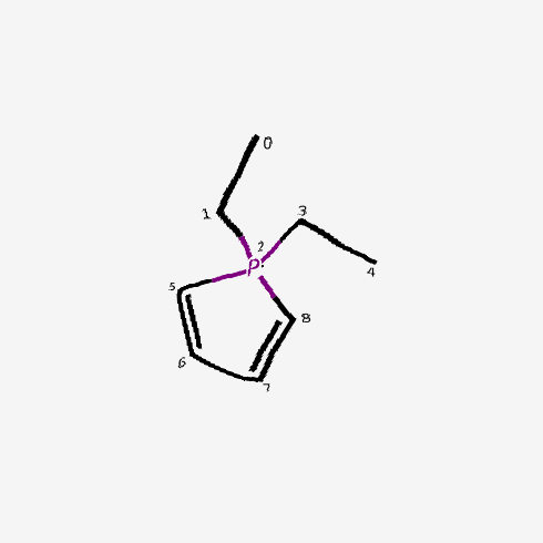 CC[P]1(CC)C=CC=C1